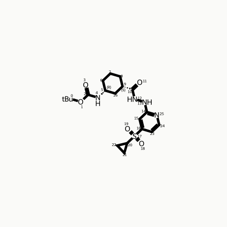 CC(C)(C)OC(=O)N[C@@H]1CCC[C@H](C(=O)NNc2cc(S(=O)(=O)C3CC3)ccn2)C1